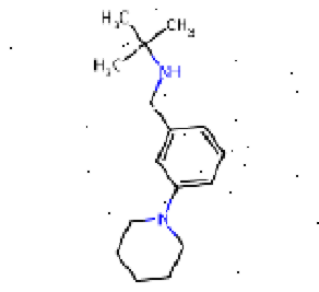 CC(C)(C)NCc1cccc(N2CCCCC2)c1